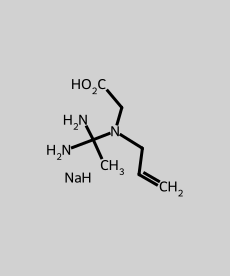 C=CCN(CC(=O)O)C(C)(N)N.[NaH]